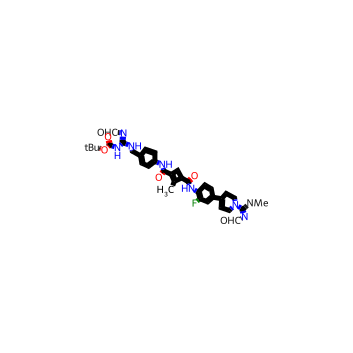 CN/C(=N/C=O)N1CC=C(c2ccc(NC(=O)C3CC(C(=O)Nc4ccc(CN/C(=N/C=O)NC(=O)OC(C)(C)C)cc4)=C3C)c(F)c2)CC1